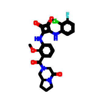 COc1c(Nc2c(Nc3cccc(F)c3Cl)c(=O)c2=O)cccc1C(=O)N1CC(=O)N2CCCC2C1